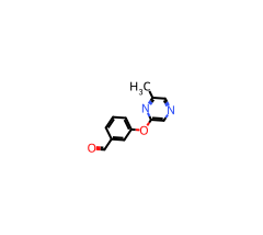 Cc1cncc(Oc2cccc(C=O)c2)n1